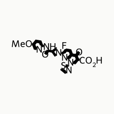 COc1ccc(NC(=O)C2CN(c3nc4c(cc3F)c(=O)c(C(=O)O)cn4-c3nccs3)C2)nc1